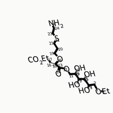 CCOC[C@@H](O)[C@H](O)[C@H](O)[C@H](O)COC(=O)[C@H](CC(=O)OCC)OCCCSCCN